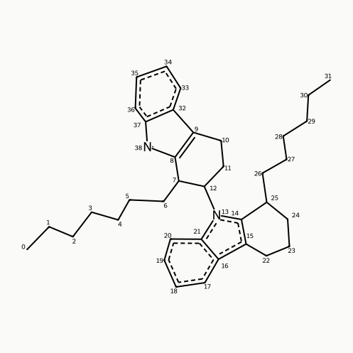 CCCCCCCC1C2=C(CCC1n1c3c(c4ccccc41)CCCC3CCCCCC)c1ccccc1[N]2